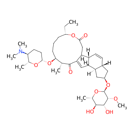 CC[C@H]1CCC[C@H](O[C@H]2CC[C@H](N(C)C)[C@@H](C)O2)[C@@H](C)C(=O)C2=C[C@@H]3[C@@H](C=C[C@@H]4C[C@@H](O[C@@H]5O[C@@H](C)[C@H](O)[C@@H](O)[C@H]5OC)C[C@@H]34)[C@@H]2CC(=O)O1